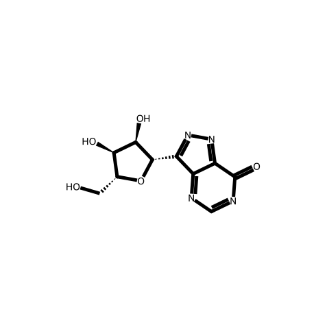 O=C1N=CN=C2C1=NN=C2[C@@H]1O[C@H](CO)[C@@H](O)[C@H]1O